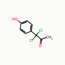 CC(=O)C(Cl)(Cl)c1ccc(O)cc1